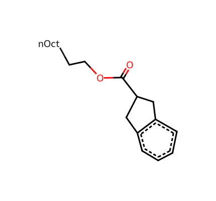 CCCCCCCCCCOC(=O)C1Cc2ccccc2C1